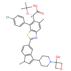 Cc1cc2nc(-c3ccc4c(c3)C(C3CCN(C5(O)COC5)CC3)=CC4C)sc2c(-c2ccc(Cl)cc2)c1[C@H](OC(C)(C)C)C(=O)O